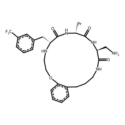 CC(C)[C@H]1NC(=O)[C@@H](Cc2cccc(C(F)(F)F)c2)NCCOc2ccccc2CCCNC(=O)[C@H](CN)NC1=O